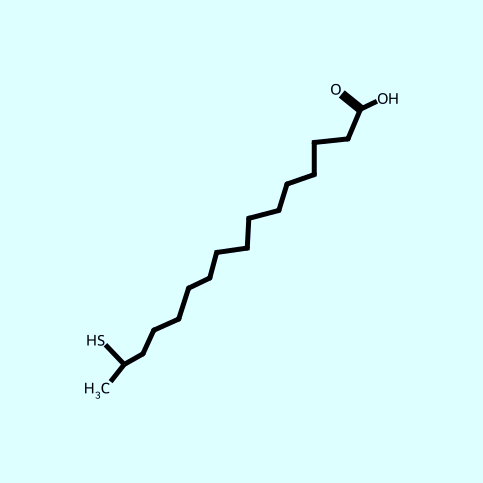 CC(S)CCCCCCCCCCCCCC(=O)O